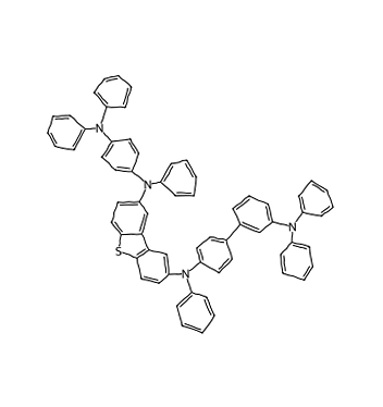 c1ccc(N(c2ccccc2)c2ccc(N(c3ccccc3)c3ccc4sc5ccc(N(c6ccccc6)c6ccc(-c7cccc(N(c8ccccc8)c8ccccc8)c7)cc6)cc5c4c3)cc2)cc1